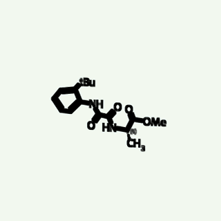 COC(=O)[C@H](C)NC(=O)C(=O)Nc1ccccc1C(C)(C)C